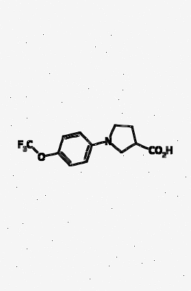 O=C(O)C1CCN(c2ccc(OC(F)(F)F)cc2)C1